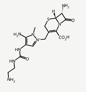 Cn1c(N)c(NC(=O)NCCN)c[n+]1CC1=C(C(=O)O)N2C(=O)[C@@H](N)[C@H]2SC1